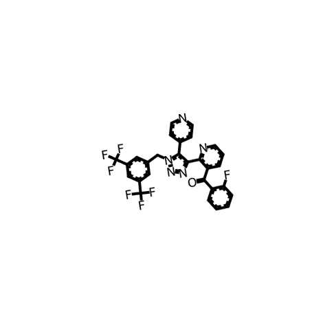 O=C(c1ccccc1F)c1cccnc1-c1nnn(Cc2cc(C(F)(F)F)cc(C(F)(F)F)c2)c1-c1ccncc1